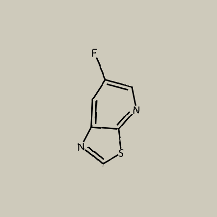 Fc1cnc2s[c]nc2c1